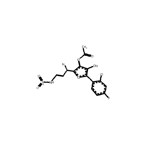 CC(=O)Oc1c(C(Br)CCN[SH](=O)=O)oc(-c2ccc(F)cc2Cl)c1O